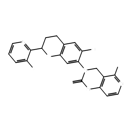 O=C1Nc2ccnc(Cl)c2CN1c1cc2c(cc1C(F)(F)F)CCC(c1ncccc1F)O2